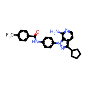 Nc1nccc2c(C3CCCC3)nn(-c3ccc(NC(=O)c4ccc(C(F)(F)F)cc4)cc3)c12